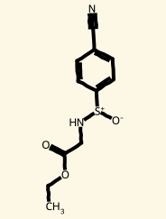 CCOC(=O)CN[S+]([O-])c1ccc(C#N)cc1